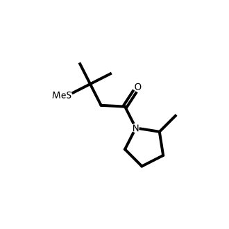 CSC(C)(C)CC(=O)N1CCCC1C